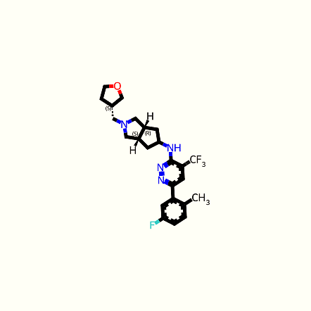 Cc1ccc(F)cc1-c1cc(C(F)(F)F)c(NC2C[C@@H]3CN(C[C@@H]4CCOC4)C[C@@H]3C2)nn1